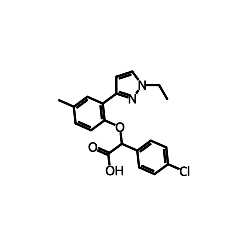 CCn1ccc(-c2cc(C)ccc2OC(C(=O)O)c2ccc(Cl)cc2)n1